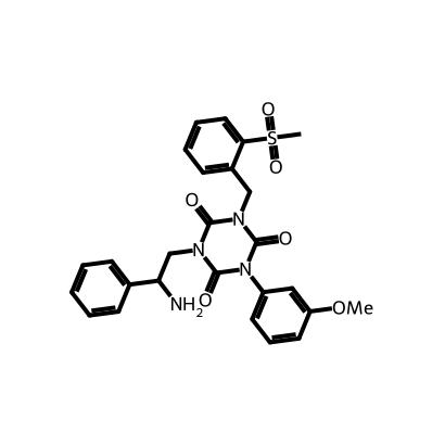 COc1cccc(-n2c(=O)n(Cc3ccccc3S(C)(=O)=O)c(=O)n(CC(N)c3ccccc3)c2=O)c1